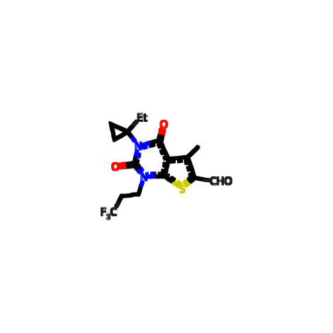 CCC1(n2c(=O)c3c(C)c(C=O)sc3n(CCC(F)(F)F)c2=O)CC1